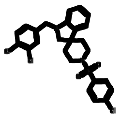 O=S(=O)(c1ccc(Cl)cc1)N1CCC2(CC1)CN(Cc1ccc(Cl)c(Cl)c1)c1ccccc12